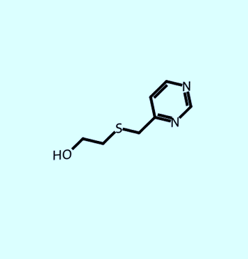 OCCSCc1ccncn1